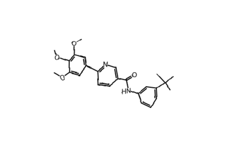 COc1cc(-c2ccc(C(=O)Nc3cccc(C(C)(C)C)c3)cn2)cc(OC)c1OC